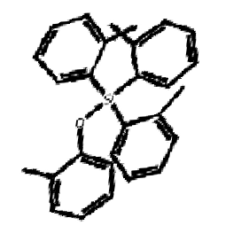 Cc1ccccc1O[Si](c1ccccc1C)(c1ccccc1C)c1ccccc1C